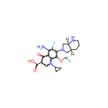 Nc1c(F)c(N2C[C@H]3CCCN[C@H]3C2)c(OC(F)F)c2c1c(=O)c(C(=O)O)cn2C1CC1